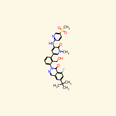 Cn1cc(-c2cccc(-n3ncc4cc(C(C)(C)C)cc(F)c4c3=O)c2CO)cc(Nc2ccc(S(C)(=O)=O)cn2)c1=O